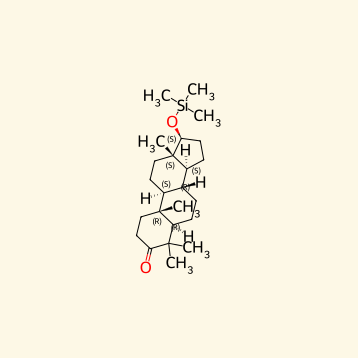 CC1(C)C(=O)CC[C@]2(C)[C@H]3CC[C@]4(C)[C@@H](O[Si](C)(C)C)CC[C@H]4[C@@H]3CC[C@@H]12